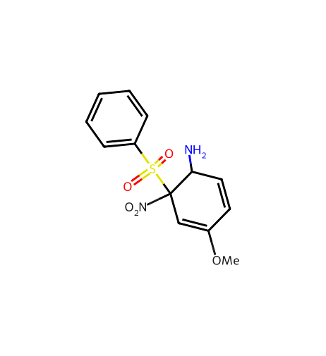 COC1=CC([N+](=O)[O-])(S(=O)(=O)c2ccccc2)C(N)C=C1